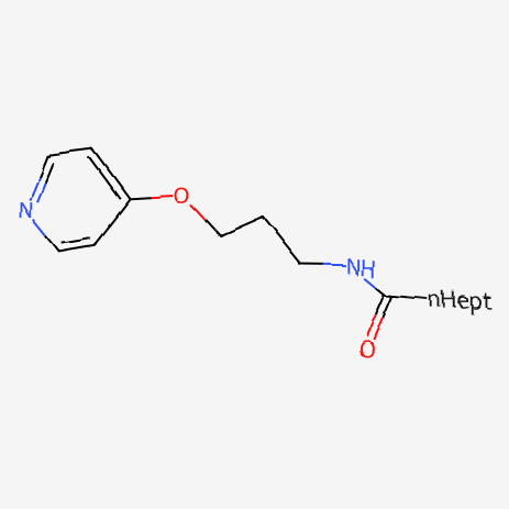 CCCCCCCC(=O)NCCCOc1ccncc1